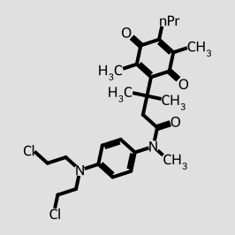 CCCC1=C(C)C(=O)C(C(C)(C)CC(=O)N(C)c2ccc(N(CCCl)CCCl)cc2)=C(C)C1=O